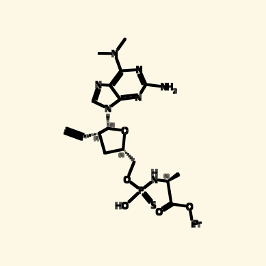 C#C[C@H]1C[C@@H](COP(O)(=S)N[C@@H](C)C(=O)OC(C)C)O[C@H]1n1cnc2c(N(C)C)nc(N)nc21